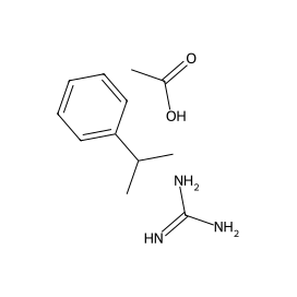 CC(=O)O.CC(C)c1ccccc1.N=C(N)N